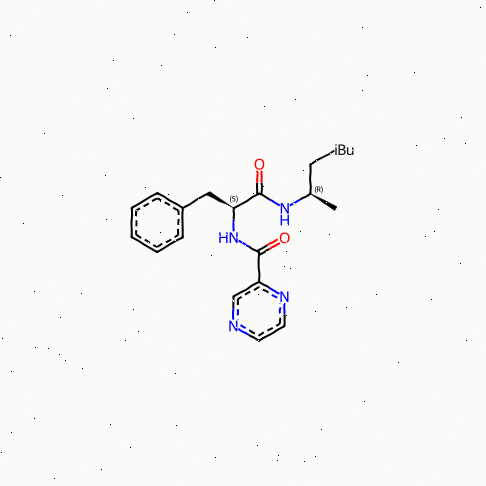 CCC(C)C[C@@H](C)NC(=O)[C@H](Cc1ccccc1)NC(=O)c1cnccn1